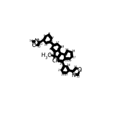 CC1(C)c2cc(-c3cccc(-c4cocn4)c3)ccc2-c2c1cc(-c1cccc(-c3cocn3)c1)c1ccccc21